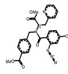 COC(=O)c1ccc(CN(C(=O)c2ccc(Cl)cc2N=[N+]=[N-])[C@H](Cc2ccccn2)C(=O)OC)cc1